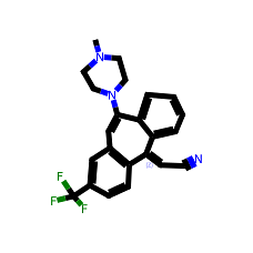 CN1CCN(C2=Cc3cc(C(F)(F)F)ccc3/C(=C/C#N)c3ccccc32)CC1